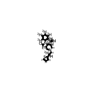 [2H]c1c([2H])c([2H])c(N(C(=O)CC)C2(OC([2H])([2H])[2H])CCN(CC([2H])([2H])c3cccs3)CC2)c([2H])c1[2H]